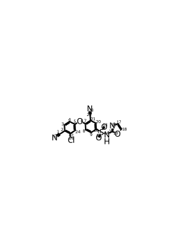 N#Cc1ccc(Oc2ccc(S(=O)(=O)Nc3ncco3)cc2C#N)cc1Cl